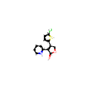 O=C1OCC(c2ccc(Cl)s2)=C1c1ccccn1